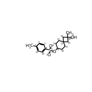 Cc1ccc(S(=O)(=O)OC2CCC3(CC2)CC(C)(O)C3)cc1